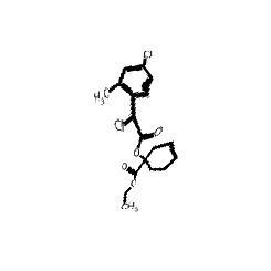 CCOC(=O)C1(OC(=O)C(Cl)c2ccc(Cl)cc2C)CCCCC1